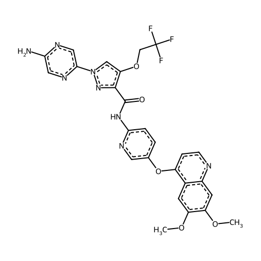 COc1cc2nccc(Oc3ccc(NC(=O)c4nn(-c5cnc(N)cn5)cc4OCC(F)(F)F)nc3)c2cc1OC